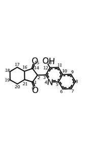 O=C1C(c2nc3ccccc3cc2O)C(=O)C2CCCCC12